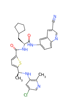 Cc1ncc(Cl)cc1N[C@@H](C)c1ccc(C(=O)N[C@@H](CC2CCCC2)C(=O)Nc2ccc3ncc(C#N)cc3c2)s1